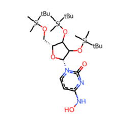 CC(C)(C)[Si](C)(C)OC[C@H]1O[C@@H](n2ccc(NO)nc2=O)C(O[Si](C)(C)C(C)(C)C)C1O[Si](C)(C)C(C)(C)C